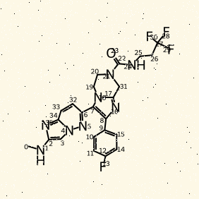 CNc1cn2nc(-c3c(-c4ccc(F)cc4)nc4n3CCN(C(=O)NCCC(F)(F)F)C4)ccc2n1